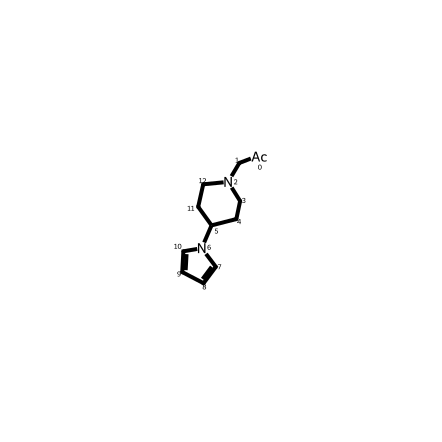 CC(=O)CN1CCC(n2cccc2)CC1